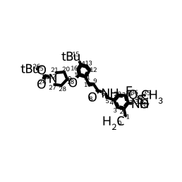 C=Cc1cc(CNC(=O)/C=C/c2ccc(C(C)(C)C)cc2OC2CCN(C(=O)OC(C)(C)C)CC2)cc(F)c1NS(C)(=O)=O